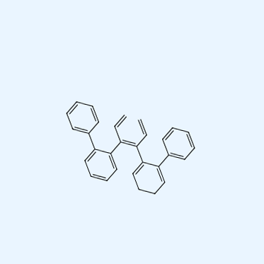 C=C/C(C1=CCCC=C1c1ccccc1)=C(\C=C)c1ccccc1-c1ccccc1